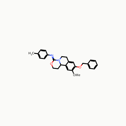 COc1cc2c(cc1OCc1ccccc1)CCN1C(=Nc3ccc(C)cc3)OCCC21